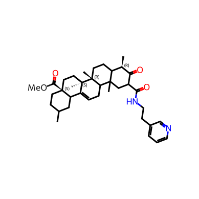 COC(=O)[C@]12CCC(C)CC1C1=CCC3C4(C)CC(C(=O)NCCc5cccnc5)C(=O)[C@H](C)C4CC[C@@]3(C)[C@]1(C)CC2